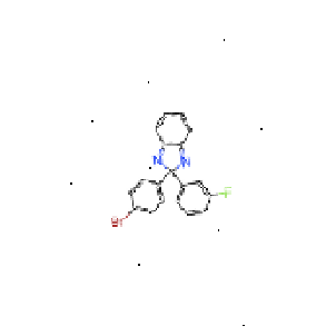 Fc1cccc(C2(c3ccc(Br)cc3)N=c3ccccc3=N2)c1